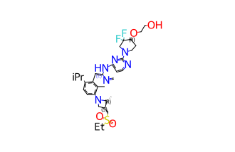 C=N/C(=C\c1c(C(C)C)ccc(N2C[C@H](CS(=O)(=O)CC)[C@H]2C)c1C)Nc1ccnc(N2CC[C@@H](OCCO)C(F)(F)C2)n1